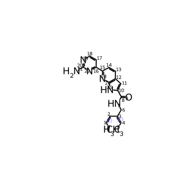 C/C=C\C(=C/C)CNC(=O)c1cc2ccc(-c3ccnc(N)n3)nc2[nH]1